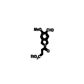 CCOC(=O)CCC(=O)N1Cc2cc(C=O)c(OC)cc2C1